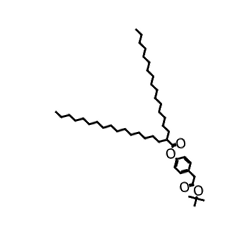 CCCCCCCCCCCCCCCCC(CCCCCCCCCCCCCCCC)C(=O)Oc1ccc(CC(=O)OC(C)(C)C)cc1